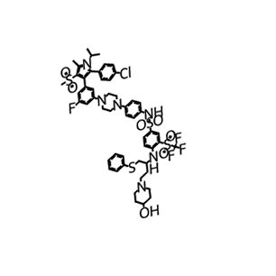 Cc1c(S(C)(=O)=O)c(-c2cc(F)cc(N3CCN(c4ccc(NS(=O)(=O)c5ccc(NC(CCN6CCC(O)CC6)CSc6ccccc6)c(S(=O)(=O)C(F)(F)F)c5)cc4)CC3)c2)c(-c2ccc(Cl)cc2)n1C(C)C